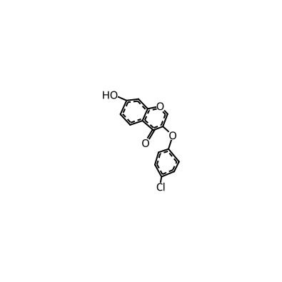 O=c1c(Oc2ccc(Cl)cc2)coc2cc(O)ccc12